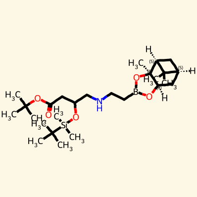 CC(C)(C)OC(=O)CC(CNCCB1O[C@@H]2C[C@@H]3C[C@@H](C3(C)C)[C@]2(C)O1)O[Si](C)(C)C(C)(C)C